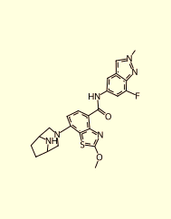 COc1nc2c(C(=O)Nc3cc(F)c4nn(C)cc4c3)ccc(N3CC4CCC(C3)N4)c2s1